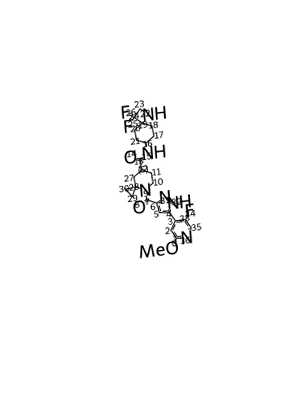 COc1cc(-c2cc(C(=O)N3CC[C@H](C(=O)NC4CCC5(CC4)NCC5(F)F)CC34CC4)n[nH]2)c(F)cn1